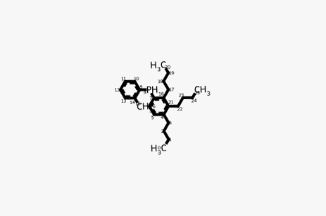 CCCCc1ccc(Pc2ccccc2C)c(CCCC)c1CCCC